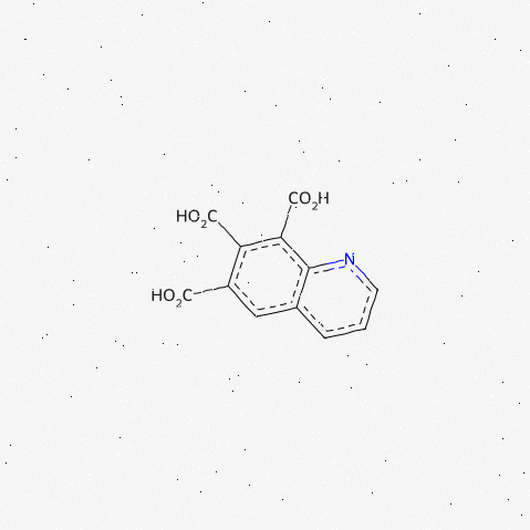 O=C(O)c1cc2cccnc2c(C(=O)O)c1C(=O)O